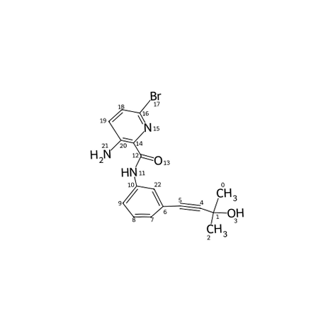 CC(C)(O)C#Cc1cccc(NC(=O)c2nc(Br)ccc2N)c1